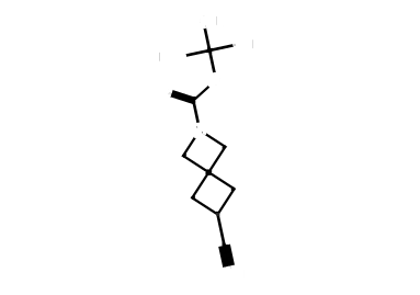 C#CC1CC2(C1)CN(C(=O)OC(C)(C)C)C2